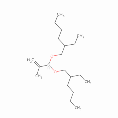 C=C(C)[SiH](OCC(CC)CCCC)OCC(CC)CCCC